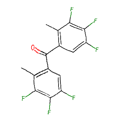 Cc1c(C(=O)c2cc(F)c(F)c(F)c2C)cc(F)c(F)c1F